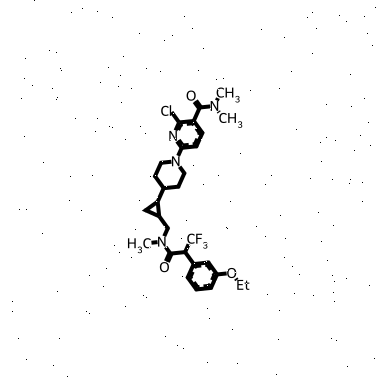 CCOc1cccc(C(C(=O)N(C)CC2CC2C2CCN(c3ccc(C(=O)N(C)C)c(Cl)n3)CC2)C(F)(F)F)c1